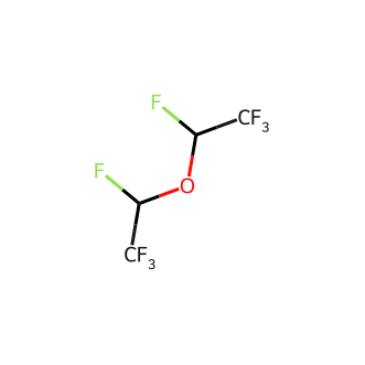 FC(OC(F)C(F)(F)F)C(F)(F)F